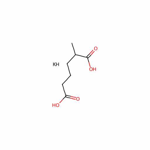 CC(CCCC(=O)O)C(=O)O.[KH]